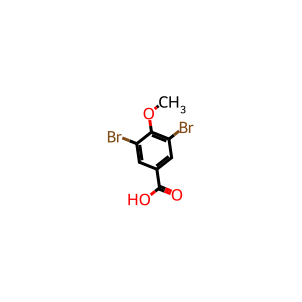 COc1c(Br)cc(C(=O)O)cc1Br